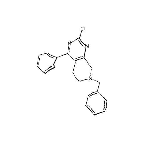 Clc1nc2c(c(-c3ccccc3)n1)CCN(Cc1ccccc1)C2